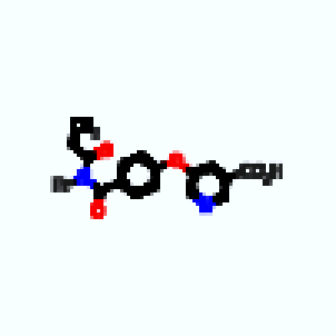 C=CC(=O)N(CC)C(=O)c1ccc(Oc2cncc(C(=O)O)c2)cc1